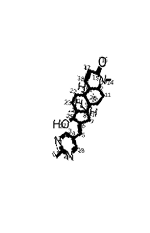 Cc1ncc(C=C2C[C@H]3[C@@H]4CCC5N(C)C(=O)C=C[C@]5(C)[C@@H]4CC[C@]3(C)C2O)cn1